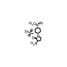 CCS(=O)(=O)C[C@@H]1C[C@H](N(C)C(C)C)CC[C@@H]1N1CCC(N)C1=O